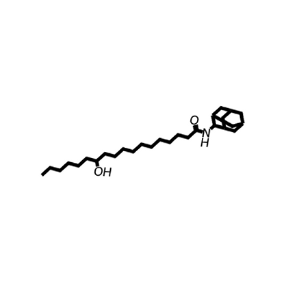 CCCCCCC(O)CCCCCCCCCCC(=O)NC1C2CC3CC(C2)CC1C3